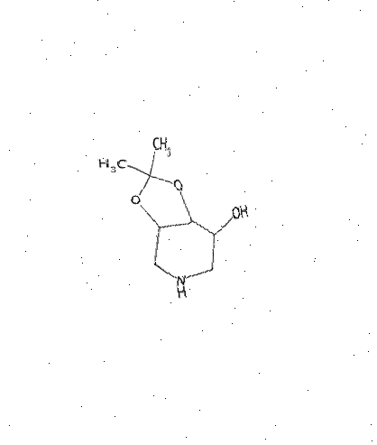 CC1(C)OC2CNCC(O)C2O1